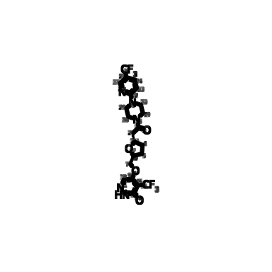 O=C(C[C@@H]1CC[C@@H](COc2cn[nH]c(=O)c2C(F)(F)F)O1)N1CCN(c2ccc(C(F)(F)F)cn2)CC1